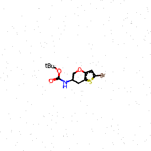 CC(C)(C)OC(=O)NC1COc2cc(Br)sc2C1